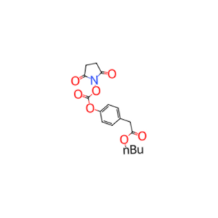 CCCCOC(=O)Cc1ccc(OC(=O)ON2C(=O)CCC2=O)cc1